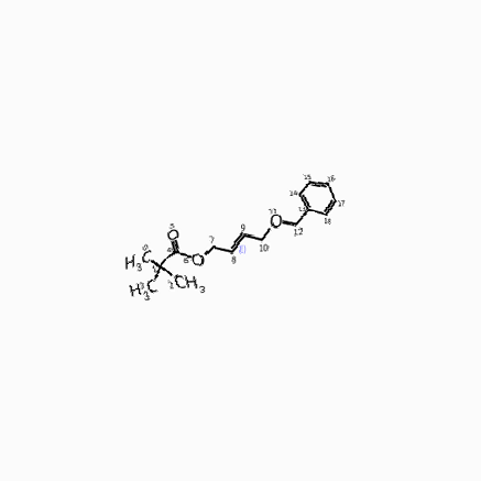 CC(C)(C)C(=O)OC/C=C/COCc1ccccc1